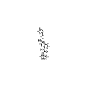 CN1CCN(CCCNc2ccc3c(NC(=O)CC45CC6CC(CC(C6)C4)C5)cccc3n2)CC1